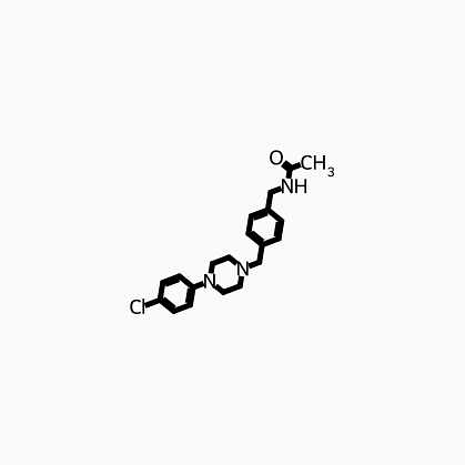 CC(=O)NCc1ccc(CN2CCN(c3ccc(Cl)cc3)CC2)cc1